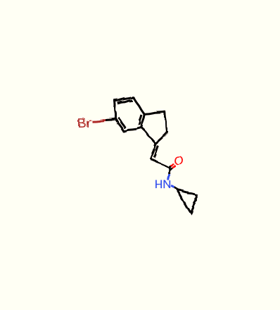 O=C(C=C1CCc2ccc(Br)cc21)NC1CC1